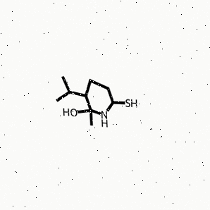 CC(C)C1CCC(S)NC1(C)O